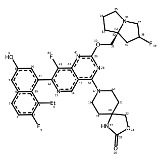 CCc1c(F)ccc2cc(O)cc(-c3ncc4c(N5CCC6(CC5)COC(=O)N6)nc(OC[C@@]56CCCN5CC(F)C6)nc4c3F)c12